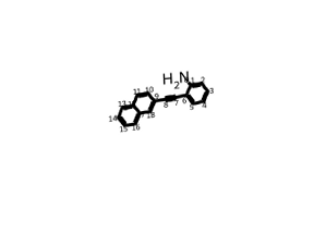 Nc1ccccc1C#Cc1ccc2ccccc2c1